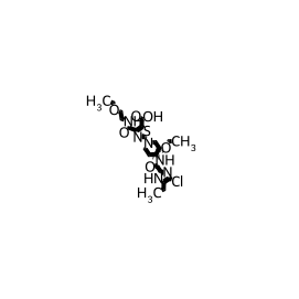 CCOCCNC(=O)c1nc(N2CC[C@@H](NC(=O)c3nc(Cl)c(CC)[nH]3)[C@@H](OCC)C2)sc1C(=O)O